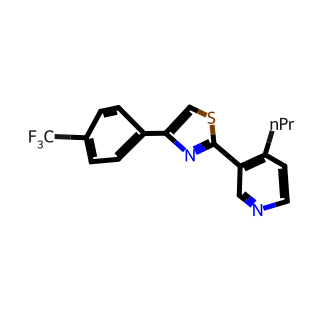 CCCc1ccncc1-c1nc(-c2ccc(C(F)(F)F)cc2)cs1